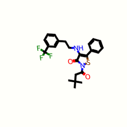 CC(C)(C)CC(=O)n1sc(-c2ccccc2)c(NCCc2cccc(C(F)(F)F)c2)c1=O